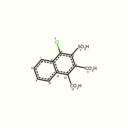 O=C(O)c1c(S(=O)(=O)O)c(Cl)c2ccccc2c1C(=O)O